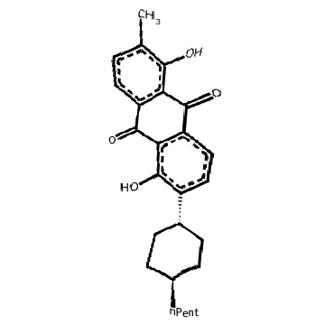 CCCCC[C@H]1CC[C@H](c2ccc3c(c2O)C(=O)c2ccc(C)c(O)c2C3=O)CC1